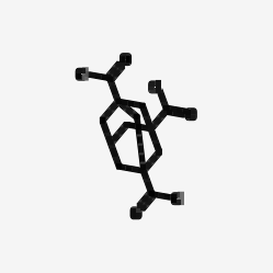 O=C(Cl)C12CC3CC(C(=O)Cl)(C1)CC(C(=O)Cl)(C3)C2